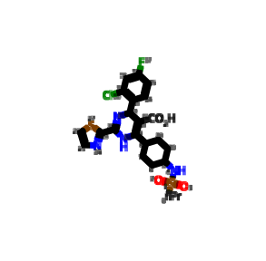 CCCS(=O)(=O)NC1CCC(C2=C(C(=O)O)C(c3ccc(F)cc3Cl)N=C(c3nccs3)N2)CC1